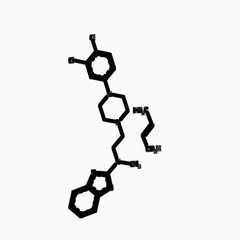 CN(CCN1CCN(c2ccc(Cl)c(Cl)c2)CC1)c1nc2ccccc2s1.O=C(O)C=CC(=O)O